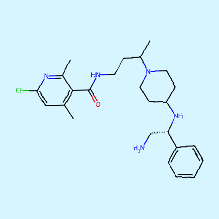 Cc1cc(Cl)nc(C)c1C(=O)NCCC(C)N1CCC(N[C@@H](CN)c2ccccc2)CC1